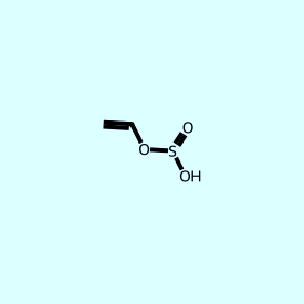 C=COS(=O)O